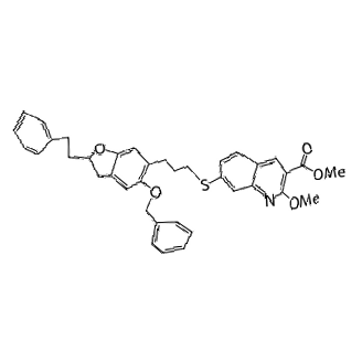 COC(=O)c1cc2ccc(SCCCc3cc4c(cc3OCc3ccccc3)CC(CCc3ccccc3)O4)cc2nc1OC